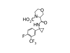 O=C(NC1(c2ccc(F)c(C(F)(F)F)c2)CC1)C1COCCN1C(=O)O